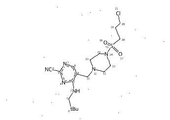 CC(C)(C)CNc1nc(C#N)ncc1CN1CCN(S(=O)(=O)CCCCl)CC1